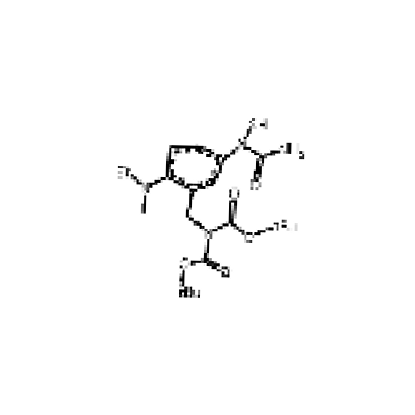 CCN(C)c1ccc(N(S)C(N)=O)cc1CN(C(=O)OC(C)(C)C)C(=O)OC(C)(C)C